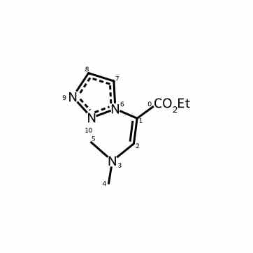 CCOC(=O)/C(=C/N(C)C)n1ccnn1